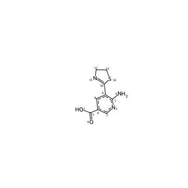 Nc1ncc(C(=O)O)cc1C1=NCCS1